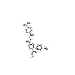 CCOC(=O)c1cnc(NCCNC2=CCN(C(=O)O)C=N2)nc1-c1ccc(C#N)cc1